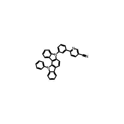 N#Cc1ccc(-c2cccc(-n3c4ccccc4c4c3ccc3c5ccccc5n(-c5ccccc5)c34)c2)nc1